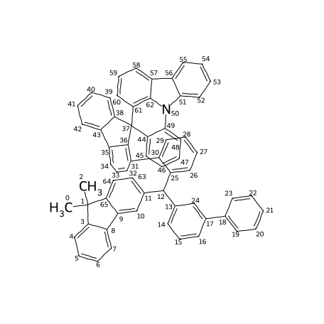 CC1(C)c2ccccc2-c2cc(C(c3cccc(-c4ccccc4)c3)c3ccccc3-c3cccc4c3C3(c5ccccc5-4)c4ccccc4-n4c5ccccc5c5cccc3c54)ccc21